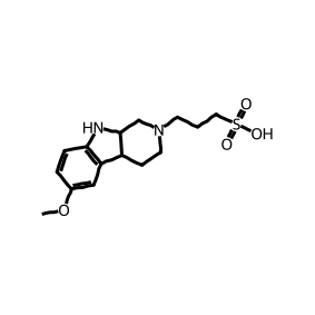 COc1ccc2c(c1)C1CCN(CCCS(=O)(=O)O)CC1N2